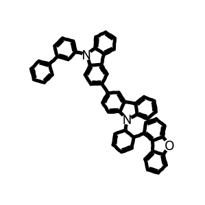 C1=CC(c2cccc3oc4ccccc4c23)C(n2c3ccccc3c3cc(-c4ccc5c(c4)c4ccccc4n5-c4cccc(-c5ccccc5)c4)ccc32)C=C1